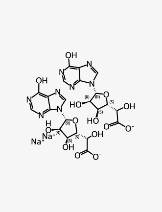 O=C([O-])C(O)[C@H]1O[C@@H](n2cnc3c(O)ncnc32)[C@H](O)[C@@H]1O.O=C([O-])C(O)[C@H]1O[C@@H](n2cnc3c(O)ncnc32)[C@H](O)[C@@H]1O.[Na+].[Na+]